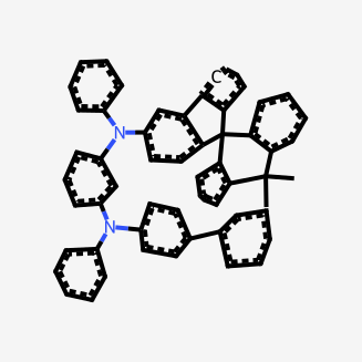 CC1(C)c2ccccc2C2(c3ccccc3-c3cc(N(c4ccccc4)c4cccc(N(c5ccccc5)c5ccc(-c6ccccc6)cc5)c4)ccc32)c2ccccc21